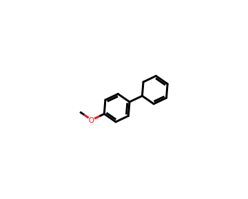 COc1ccc(C2C=CC=CC2)cc1